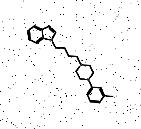 Cc1cccc(N2CCN(CCCCn3ccc4ccccc43)CC2)c1